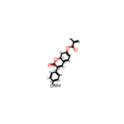 C=C(C)C(=O)OC1=CC=C2C=C(c3ccc(OC)cc3)C(=O)OC2C1